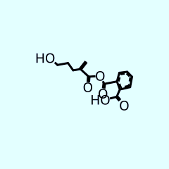 C=C(CCCO)C(=O)OC(=O)c1ccccc1C(=O)O